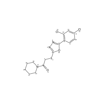 O=C(CSc1nnc(-c2ccc(Cl)cc2Cl)o1)N1CCCCC1